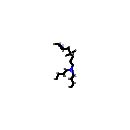 C/C=C/C[Si](C)(C)CCCN(CCCC)CCCC